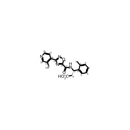 Cc1ccccc1[C@H](CC(=O)O)NC(=O)c1nc(-c2ccncc2F)no1